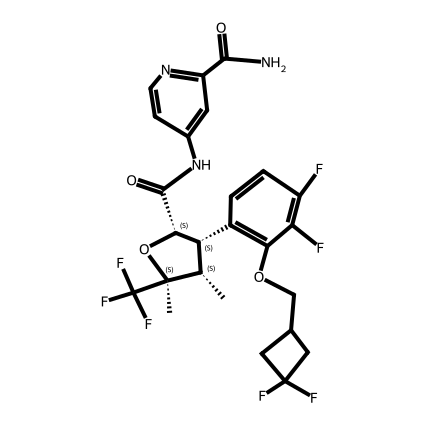 C[C@H]1[C@@H](c2ccc(F)c(F)c2OCC2CC(F)(F)C2)[C@@H](C(=O)Nc2ccnc(C(N)=O)c2)O[C@]1(C)C(F)(F)F